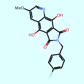 COc1cnc2c(O)c3c(c(O)c2c1)C(=O)N(Cc1ccc(F)cc1)C3=O